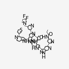 CCC(=O)Nc1cncc(-c2cc3c(-c4cc5c(-c6cocc6-c6nc(-c7cncc(CN8CCC(F)(F)C8)c7)cc7c(-c8cc9c(-c%10ccsc%10)nccc9[nH]8)n[nH]c67)nccc5[nH]4)n[nH]c3cn2)c1